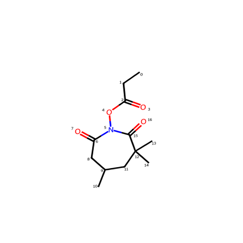 CCC(=O)ON1C(=O)CC(C)CC(C)(C)C1=O